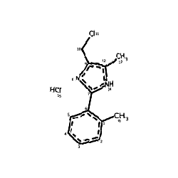 Cc1ccccc1-c1nc(CCl)c(C)[nH]1.Cl